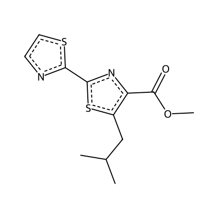 COC(=O)c1nc(-c2nccs2)sc1CC(C)C